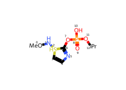 CON[SH]1C=CN=C1OP(=O)(O)OC(C)C